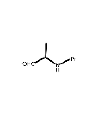 CC(C)NC(C)[C]=O